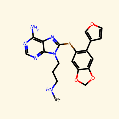 CC(C)NCCCn1c(Sc2cc3c(cc2-c2ccoc2)OCO3)nc2c(N)ncnc21